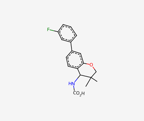 CC1(C)COc2cc(-c3cccc(F)c3)ccc2C1NC(=O)O